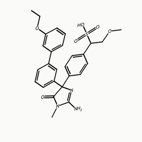 CCOc1cccc(-c2cccc(C3(c4ccc(C(COC)S(=O)(=O)O)cc4)N=C(N)N(C)C3=O)c2)c1